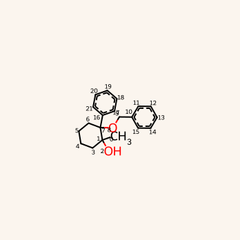 CC1(O)CCCCC1(OCc1ccccc1)c1ccccc1